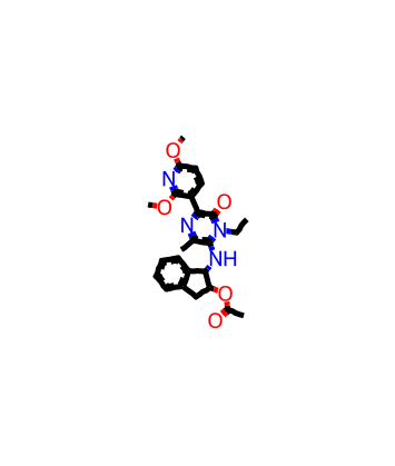 CCn1c(NC2c3ccccc3CC2OC(C)=O)c(C)nc(-c2ccc(OC)nc2OC)c1=O